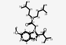 COc1cc2c(cn1)nc(C(=O)C(C)C)n2CC(=O)N(CCC(C)C)CCC(C)C